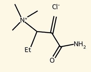 C=C(C(N)=O)C(CC)[N+](C)(C)C.[Cl-]